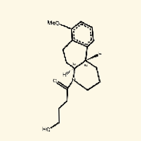 COc1cccc2c1CC[C@H]1[C@H]2CCCN1C(=O)CCCO